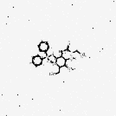 CC(=O)OCC1OC(O[Si](c2ccccc2)(c2ccccc2)C(C)(C)C)C(NC(=O)OCC(Cl)(Cl)Cl)C(OC(C)=O)C1OC(C)=O